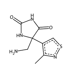 Cc1nscc1C1(CN)NC(=O)NC1=O